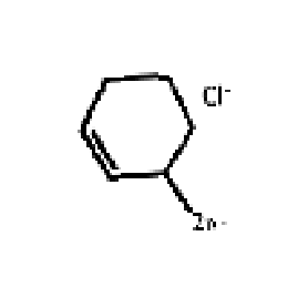 [Cl-].[Zn+][CH]1C=CCCC1